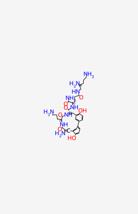 NCCC[C@H](N)CNC(=O)CC[C@H](NC(=O)[C@@H]1Cc2cc(ccc2O)-c2ccc(O)c(c2)C[C@H](N)C(=O)N[C@@H](CCCN)C(=O)N1)C(N)=O